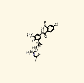 Cc1cc(NC(=O)c2ccc(Cl)cc2CF)cc([C@H]2C[C@H]2NO/C(N)=N\C(F)F)c1F